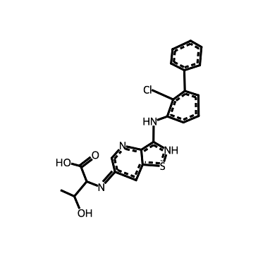 CC(O)C(N=c1cnc2c(Nc3cccc(-c4ccccc4)c3Cl)[nH]sc-2c1)C(=O)O